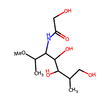 COC(C)C(NC(=O)CO)C(O)C(O)C(C)CO